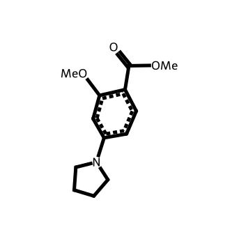 COC(=O)c1ccc(N2CCCC2)cc1OC